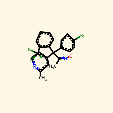 C/C(=N/O)C(c1ccc(Br)cc1)(c1ccnc(C)c1)c1ccccc1C(F)(F)F